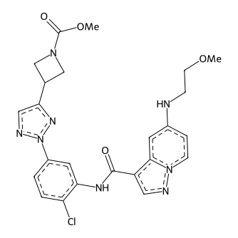 COCCNc1ccn2ncc(C(=O)Nc3cc(-n4ncc(C5CN(C(=O)OC)C5)n4)ccc3Cl)c2c1